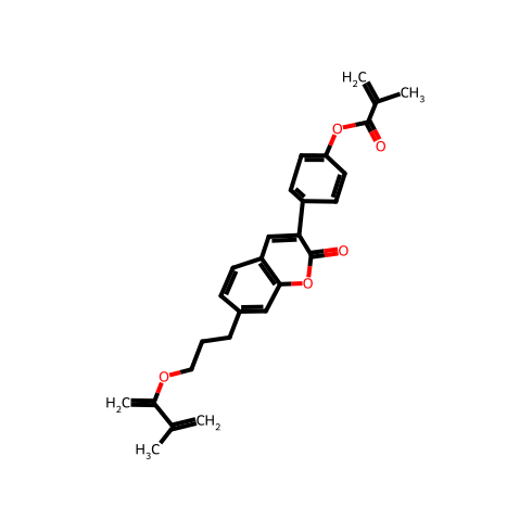 C=C(C)C(=C)OCCCc1ccc2cc(-c3ccc(OC(=O)C(=C)C)cc3)c(=O)oc2c1